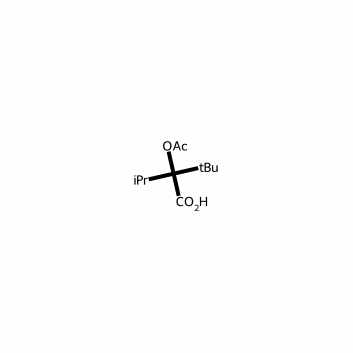 CC(=O)OC(C(=O)O)(C(C)C)C(C)(C)C